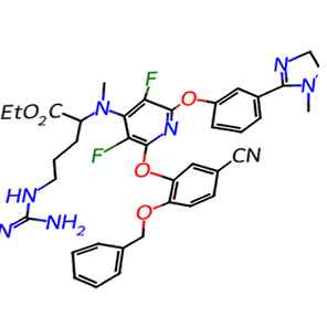 CCOC(=O)C(CCCNC(=N)N)N(C)c1c(F)c(Oc2cccc(C3=NCCN3C)c2)nc(Oc2cc(C#N)ccc2OCc2ccccc2)c1F